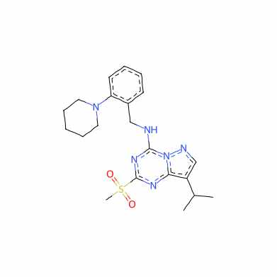 CC(C)c1cnn2c(NCc3ccccc3N3CCCCC3)nc(S(C)(=O)=O)nc12